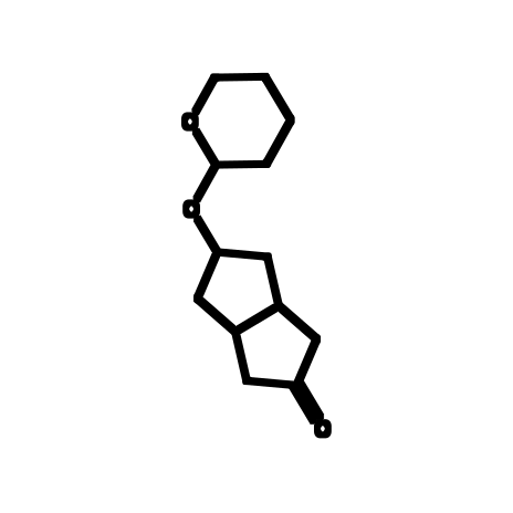 O=C1CC2CC(OC3CCCCO3)CC2C1